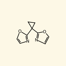 c1coc(C2(c3ncco3)CC2)n1